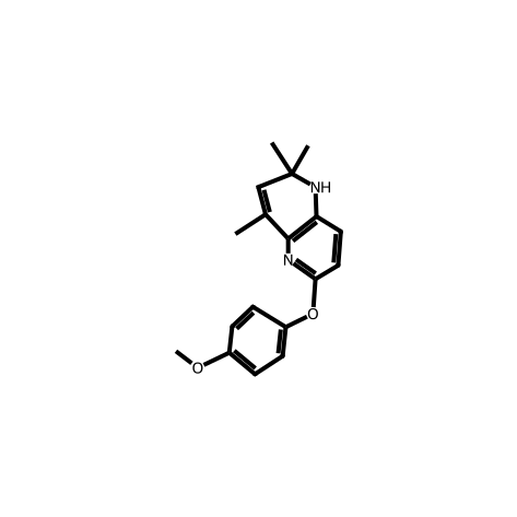 COc1ccc(Oc2ccc3c(n2)C(C)=CC(C)(C)N3)cc1